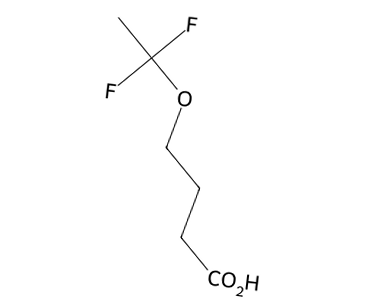 CC(F)(F)OCCCC(=O)O